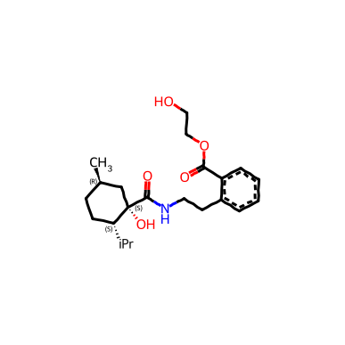 CC(C)[C@@H]1CC[C@@H](C)C[C@@]1(O)C(=O)NCCc1ccccc1C(=O)OCCO